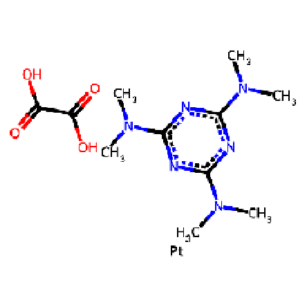 CN(C)c1nc(N(C)C)nc(N(C)C)n1.O=C(O)C(=O)O.[Pt]